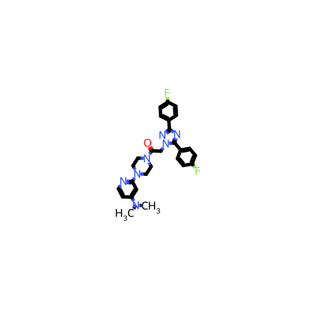 CN(C)c1ccnc(N2CCN(C(=O)Cn3nc(-c4ccc(F)cc4)nc3-c3ccc(F)cc3)CC2)c1